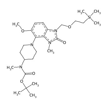 COc1ccc2c(c1N1CCC(N(C)C(=O)OC(C)(C)C)CC1)n(C)c(=O)n2COCC[Si](C)(C)C